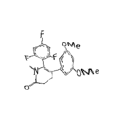 COc1cc(OC)cc(C2=C(c3c(F)cc(F)cc3F)N(C)C(=O)CC2)c1